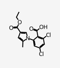 CCOC(=O)c1cc(C)n(-c2cc(Cl)cc(Cl)c2C(=O)O)c1